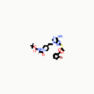 C[C@H](NC(=O)OC(C)(C)C)C(=O)N1CCC(CCn2cnc(N)c3nc(SC4=COC(c5ccccc5Br)O4)nc2-3)CC1